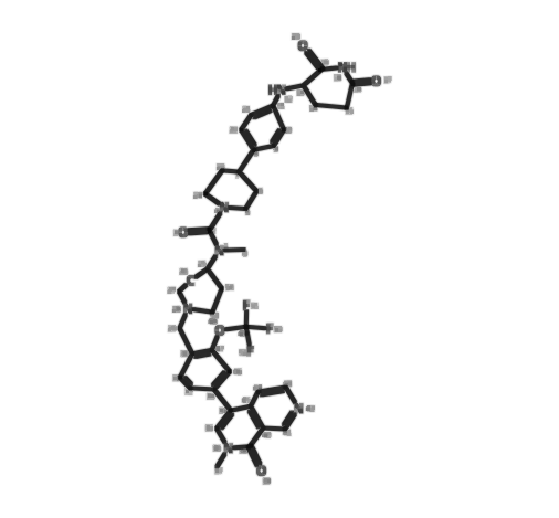 CN(C(=O)N1CCC(c2ccc(NC3CCC(=O)NC3=O)cc2)CC1)C1CCN(Cc2ccc(-c3cn(C)c(=O)c4cnccc34)cc2OC(F)(F)F)CC1